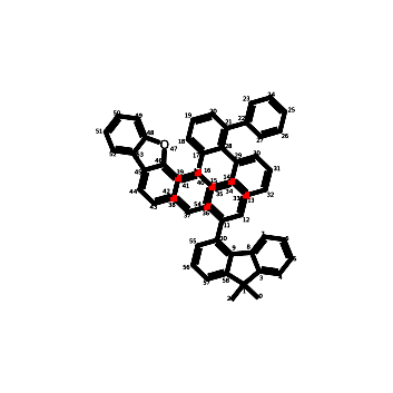 CC1(C)c2ccccc2-c2c(-c3cccc(N(c4cccc(-c5ccccc5)c4-c4ccccc4-c4ccccc4)c4cccc5c4oc4ccccc45)c3)cccc21